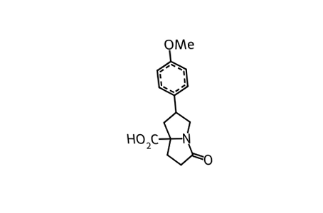 COc1ccc(C2CN3C(=O)CCC3(C(=O)O)C2)cc1